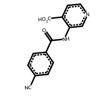 N#Cc1ccc(C(=O)Nc2cnccc2C(=O)O)cc1